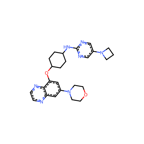 c1cnc2c(OC3CCC(Nc4ncc(N5CCC5)cn4)CC3)cc(N3CCOCC3)cc2n1